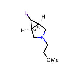 COCCN1C[C@@H]2C(I)[C@@H]2C1